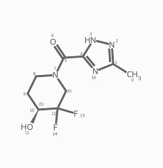 Cc1n[nH]c(C(=O)N2CC[C@H](O)C(F)(F)C2)n1